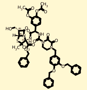 CC(=O)Oc1ccc(C(NC(=O)N2CCN(Cc3ccc(OCc4ccccc4)c(OCc4ccccc4)c3)C(=O)C2=O)C(=O)N[C@@]2(C(=O)OCc3ccccc3)N3C(=O)[C@@H](CO)[C@H]3SC2(C)C)cc1OC(C)=O